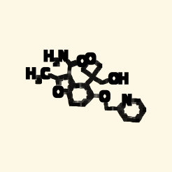 Cc1oc2ccc(OCc3ccccn3)c(C3(CO)COC3)c2c1C(N)=O